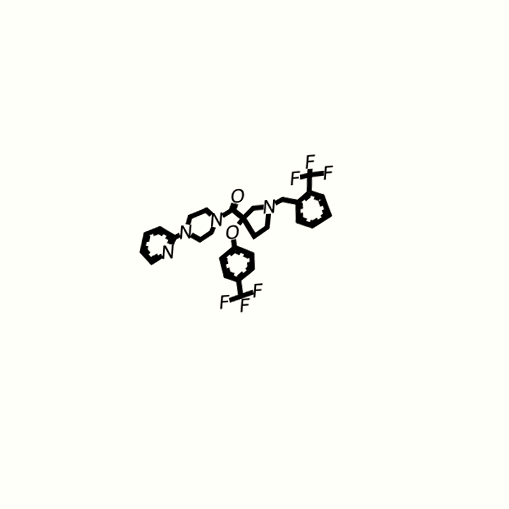 O=C(N1CCN(c2ccccn2)CC1)C1(Oc2ccc(C(F)(F)F)cc2)CCN(Cc2ccccc2C(F)(F)F)C1